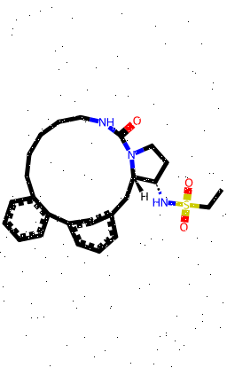 CCS(=O)(=O)N[C@H]1CCN2C(=O)NCCCCCc3ccccc3-c3cccc(c3)C[C@@H]12